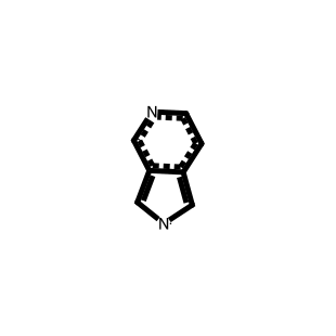 C1=c2ccncc2=C[N]1